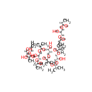 C=C(C)C(=O)OCC(O)COC(=O)C(=C)C.C=C(C)C(=O)OCCCO.C=CC(=O)OCC(O)COC(=O)C(=C)C.C=CC(=O)OCC(O)COC(=O)C=C.C=CC(=O)OCCC.OCCO